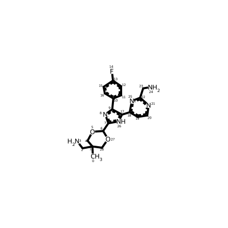 CC1(CN)COC(c2nc(-c3ccc(F)cc3)c(-c3ccnc(CN)n3)[nH]2)OC1